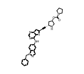 O=C(O[C@H]1CN[C@H](C#Cc2cc3ncnc(Nc4ccc5c(cnn5Cc5ccccc5)c4)c3s2)C1)N1CCCC1